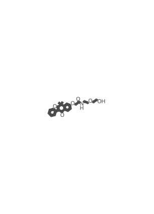 CC1(C)c2cc(OCC(=O)NCCOCCO)ccc2C(=O)c2c1oc1ccccc21